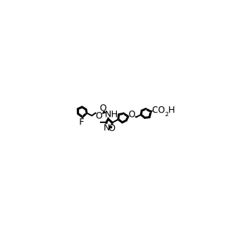 Cc1noc(-c2ccc(OCc3ccc(C(=O)O)cc3)cc2)c1NC(=O)OCCc1ccccc1F